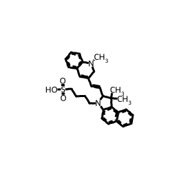 CN1CC(C=CC2N(CCCCS(=O)(=O)O)c3ccc4ccccc4c3C2(C)C)=Cc2ccccc21